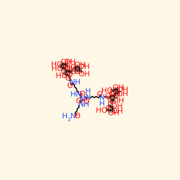 NC(=O)CCCCCNC(=O)CN(CC(=O)NCCCCCC(=O)NCCO[C@H]1O[C@H](CO[C@H]2O[C@H](CO)[C@@H](O)[C@H](O)[C@@H]2O)[C@@H](O)[C@H](O[C@H]2O[C@H](CO)[C@@H](O)[C@H](O)[C@@H]2O)[C@@H]1O)CC(=O)NCCCCCC(=O)NCCO[C@H]1O[C@H](CO[C@H]2O[C@H](CO)[C@@H](O)[C@H](O)[C@@H]2O)[C@@H](O)[C@H](O[C@H]2O[C@H](CO)[C@@H](O)[C@H](O)[C@@H]2O)[C@@H]1O